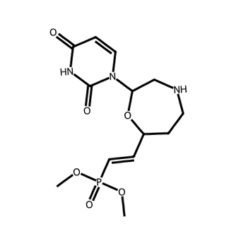 COP(=O)(/C=C/C1CCNCC(n2ccc(=O)[nH]c2=O)O1)OC